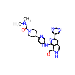 CN(C)CC(=O)N1CCC(c2ccc(Nc3nc(-c4cncnc4)cc4c3C(C=O)NC=C4)cn2)CC1